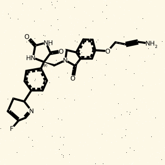 NC#CCOc1ccc2c(c1)C(=O)N(C[C@@]1(c3ccc(C4CC=C(F)C=N4)cc3)NC(=O)NC1=O)C2